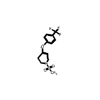 CS(=O)(=O)N1CCC(Oc2ccc(C(F)(F)F)cc2)CC1